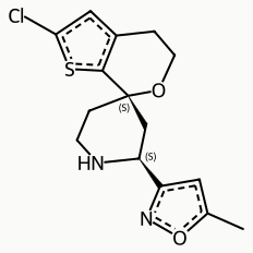 Cc1cc([C@@H]2C[C@]3(CCN2)OCCc2cc(Cl)sc23)no1